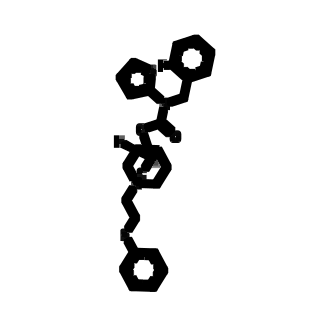 O=C(O[C@H]1C[N+]2(CCSc3ccccc3)CCC1CC2)N(Cc1ccccc1F)c1cccs1